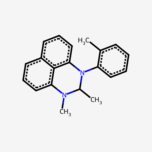 Cc1ccccc1N1c2cccc3cccc(c23)N(C)C1C